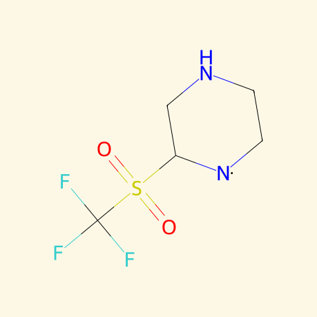 O=S(=O)(C1CNCC[N]1)C(F)(F)F